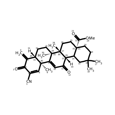 C=C1C(=O)C(C#N)=C[C@]2(C)C3=CC(=O)[C@H]4C5CC(C)(C)CC[C@]5(C(=O)OC)CC[C@@]4(C)[C@]3(C)CC[C@@H]12